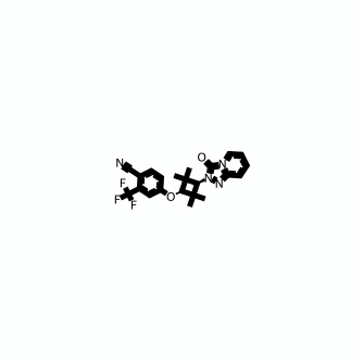 CC1(C)[C@H](Oc2ccc(C#N)c(C(F)(F)F)c2)C(C)(C)[C@H]1n1nc2ccccn2c1=O